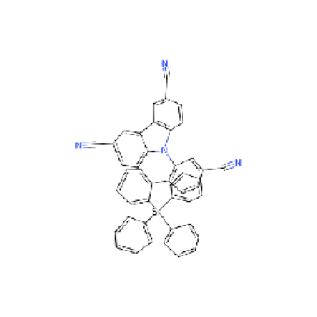 N#Cc1ccc(-c2ccccc2[Si](c2ccccc2)(c2ccccc2)c2ccccc2)c(-n2c3ccc(C#N)cc3c3cc(C#N)ccc32)c1